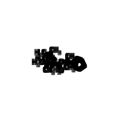 CC(C)(C)CC(C)(C(=O)OC(C)(C)C1CC2CCC1C2)C(C)(C)C